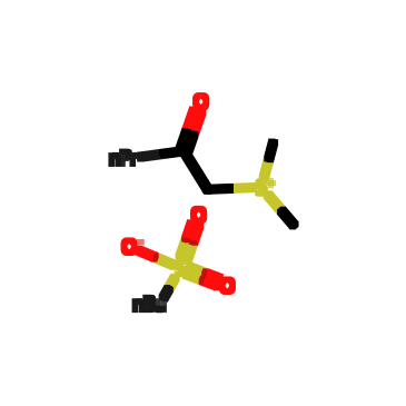 CCCC(=O)C[S+](C)C.CCCCS(=O)(=O)[O-]